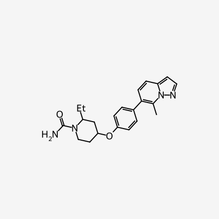 CCC1CC(Oc2ccc(-c3ccc4ccnn4c3C)cc2)CCN1C(N)=O